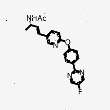 CC(=O)N[C@@H](C)/C=C/c1ccc(Oc2ccc(-c3ncc(F)cn3)cc2)nc1